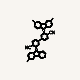 Cc1ccc2c(c1)c1ccccc1n2-c1cc(-c2ccc(C#N)c(-n3c4ccc(C)cc4c4cc(C)ccc43)c2)ccc1C#N